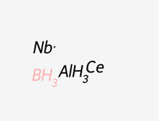 B.[AlH3].[Ce].[Nb]